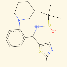 Cc1ncc(C(N[S+]([O-])C(C)(C)C)c2ccccc2N2CCCCC2)s1